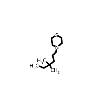 CCC(C)(C)CCCN1CCSCC1